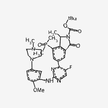 COc1ccc(N2CCN(C)CC2)cc1Nc1ncc(F)c(-c2cc3c(c(P(C)(C)=O)c2)C(C)N(C(=O)OC(C)(C)C)C3=O)n1